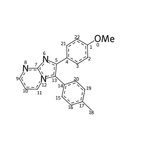 COc1ccc(-c2nc3ncccn3c2-c2ccc(C)cc2)cc1